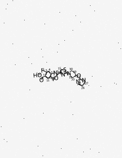 O=C(Nc1cc(F)c(C(=O)O)cc1F)c1csc(N2CCC(Oc3ncccn3)CC2)n1